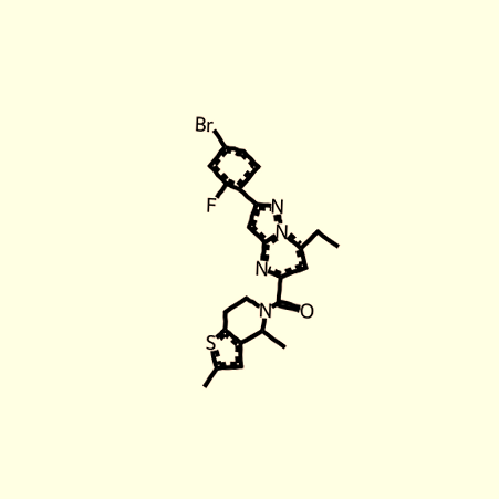 CCc1cc(C(=O)N2CCc3sc(C)cc3C2C)nc2cc(-c3ccc(Br)cc3F)nn12